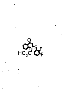 O=C(O)Cn1c(Sc2cccc(F)c2F)cc(=O)c2ccccc21